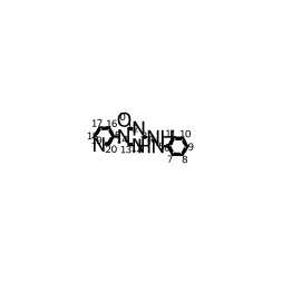 O=c1nc(NNc2ccccc2)ncn1-c1cccnc1